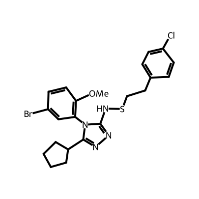 COc1ccc(Br)cc1-n1c(NSCCc2ccc(Cl)cc2)nnc1C1CCCC1